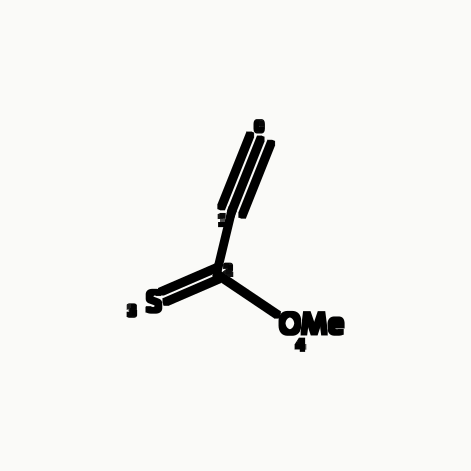 C#CC(=S)OC